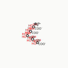 O=C([O-])c1cc(O)c(O)c(O)c1.O=C([O-])c1cc(O)c(O)c(O)c1.O=C([O-])c1cc(O)c(O)c(O)c1.O=C([O-])c1cc(O)c(O)c(O)c1.O=C([O-])c1cc(O)c(O)c(O)c1.[Mg+2].[Pr+3]